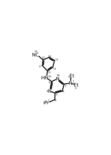 CCN(CC)c1cc(CC(C)C)nc(Nc2cccc(C#N)c2)n1